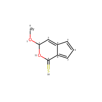 CC(C)OC1C=C2C=CC=C2C(=S)O1